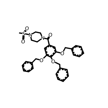 CS(=O)(=O)N1CCN(C(=O)c2cc(OCc3ccccc3)c(OCc3ccccc3)c(OCc3ccccc3)c2)CC1